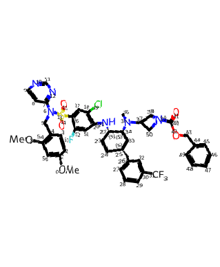 COc1ccc(CN(c2ccncn2)S(=O)(=O)c2cc(Cl)c(N[C@H]3CC[C@H](c4cccc(C(F)(F)F)c4)C[C@@H]3N(C)C3CN(C(=O)OCc4ccccc4)C3)cc2F)c(OC)c1